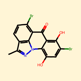 Cc1nn2c3c(O)cc(Br)c(O)c3c(=O)c3c(Br)ccc1c32